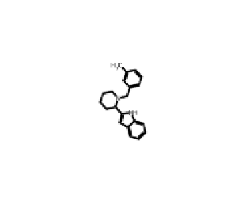 Cc1cccc(CN2CCCCC2c2cc3ccccc3[nH]2)c1